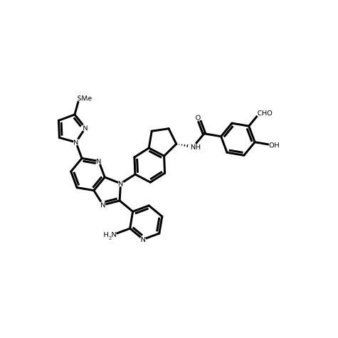 CSc1ccn(-c2ccc3nc(-c4cccnc4N)n(-c4ccc5c(c4)CC[C@@H]5NC(=O)c4ccc(O)c(C=O)c4)c3n2)n1